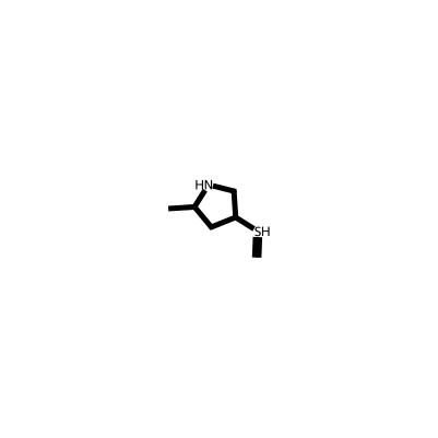 C=[SH]C1CNC(C)C1